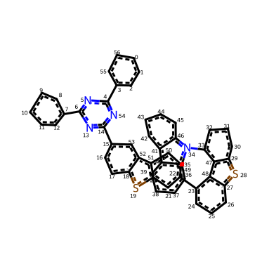 c1ccc(-c2nc(-c3ccccc3)nc(-c3ccc4sc5cc(-c6cccc7sc8cccc(-n9c%10ccccc%10c%10ccccc%109)c8c67)ccc5c4c3)n2)cc1